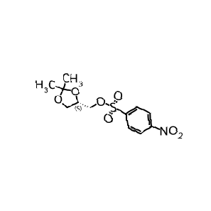 CC1(C)OC[C@@H](COS(=O)(=O)c2ccc([N+](=O)[O-])cc2)O1